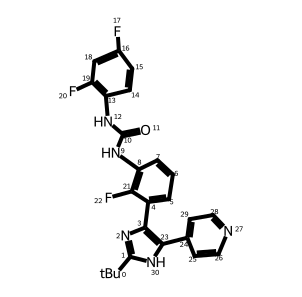 CC(C)(C)c1nc(-c2cccc(NC(=O)Nc3ccc(F)cc3F)c2F)c(-c2ccncc2)[nH]1